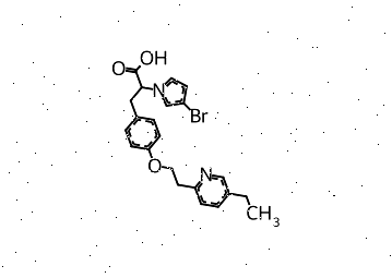 CCc1ccc(CCOc2ccc(CC(C(=O)O)n3ccc(Br)c3)cc2)nc1